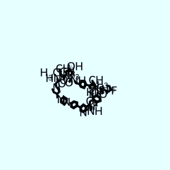 Cc1ncsc1-c1ccc(CNC(=O)[C@@H]2C[C@@H](O)CN2C(=O)C(NC(=O)CN2CCC(CN3CCN(c4ccc(-c5cnc6[nH]cc(Oc7c(F)ccc(NS(=O)(=O)N8CC[C@@H](F)C8)c7F)c6c5)cc4)CC3)CC2)C(C)(C)C)cc1